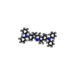 Cc1c2c(nc3c1C(C)(C)c1cc(N(c4ccccc4)c4ccccc4)ccc1-3)C(C)(C)c1cc(N(c3ccccc3)c3ccccc3)ccc1-2